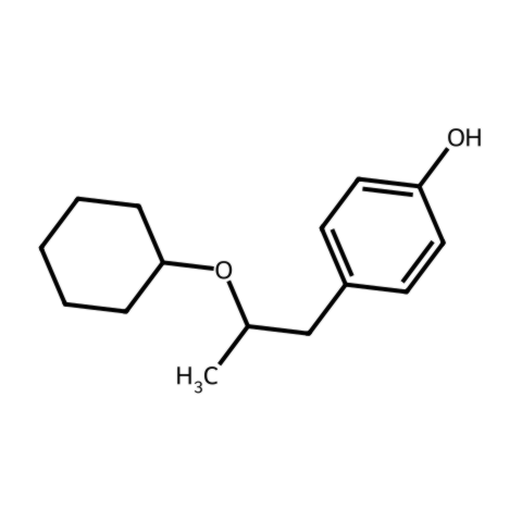 CC(Cc1ccc(O)cc1)OC1CCCCC1